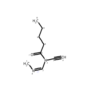 C#CN(/C=N\C)C(=O)CCCC